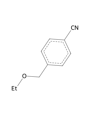 CCOCc1ccc(C#N)cc1